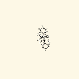 C=C[Si](C=C)(c1ccccc1)[Si](Cl)(c1ccccc1)[SiH](Cl)Cl